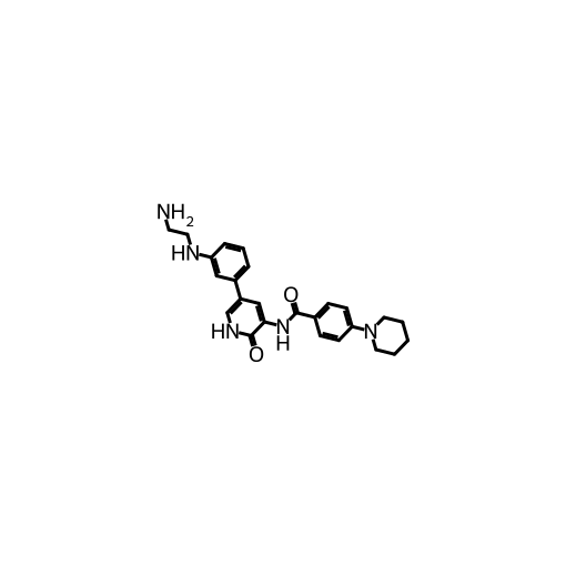 NCCNc1cccc(-c2c[nH]c(=O)c(NC(=O)c3ccc(N4CCCCC4)cc3)c2)c1